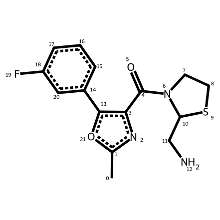 Cc1nc(C(=O)N2CCSC2CN)c(-c2cccc(F)c2)o1